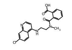 CN(CCNc1ccnc2cc(Cl)ccc12)C(=O)c1ccccc1C(=O)O